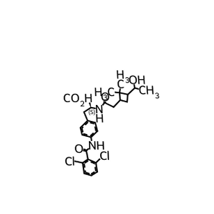 CC(O)C1CC(CC(=O)N[C@@H](Cc2ccc(NC(=O)c3c(Cl)cccc3Cl)cc2)C(=O)O)C1(C)C